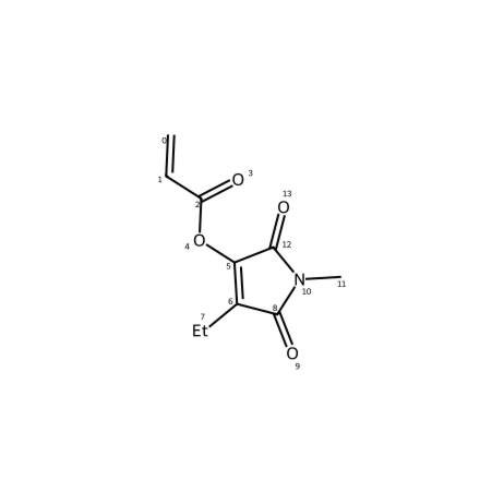 C=CC(=O)OC1=C(CC)C(=O)N(C)C1=O